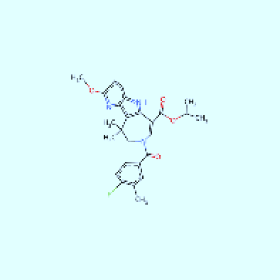 COc1ccc2[nH]c3c(c2n1)C(C)(C)CN(C(=O)c1ccc(F)c(C)c1)C=C3C(=O)OC(C)C